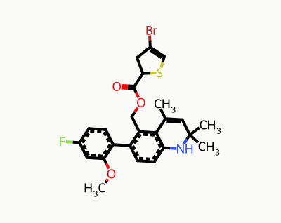 COc1cc(F)ccc1-c1ccc2c(c1COC(=O)C1CC(Br)=CS1)C(C)=CC(C)(C)N2